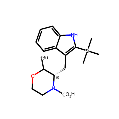 CC(C)(C)C1OCCN(C(=O)O)[C@H]1Cc1c([Si](C)(C)C)[nH]c2ccccc12